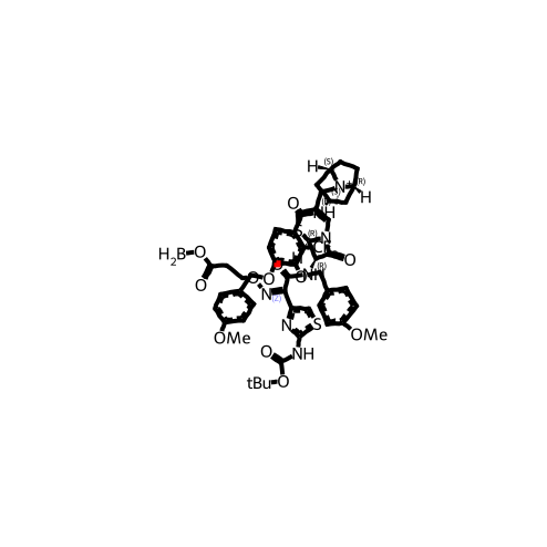 BOC(=O)CCO/N=C(\C(=O)N[C@@H]1C(=O)N2C=C(C[N@+]3(C)[C@@H]4CC[C@H]3C[C@@H](NC(=O)c3ccc(OCc5ccc(OC)cc5)c(OCc5ccc(OC)cc5)c3C(F)(F)F)C4)CS[C@H]12)c1csc(NC(=O)OC(C)(C)C)n1